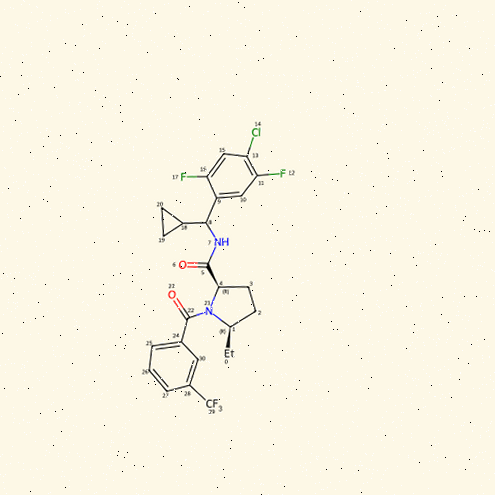 CC[C@@H]1CC[C@H](C(=O)NC(c2cc(F)c(Cl)cc2F)C2CC2)N1C(=O)c1cccc(C(F)(F)F)c1